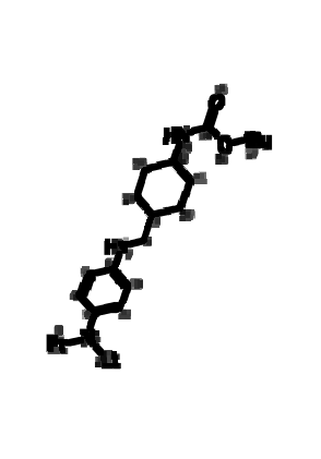 CCN(CC)c1ccc(NCC2CCC(NC(=O)OC(C)(C)C)CC2)cc1